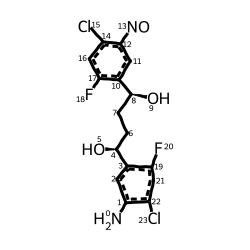 Nc1cc([C@@H](O)CC[C@H](O)c2cc(N=O)c(Cl)cc2F)c(F)cc1Cl